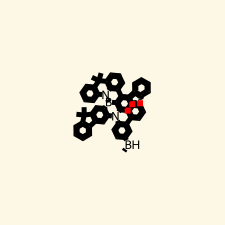 CBc1ccc(N2c3cc4c(cc3B3c5c2cc2sc6ccccc6c2c5-c2cccc5c2N3c2ccccc2C5(C)C)C(C)(C)c2ccccc2-4)c(-c2ccccc2)c1